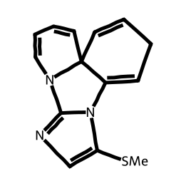 CSc1cnc2n1C1=CCC=CC13C=CC=CN23